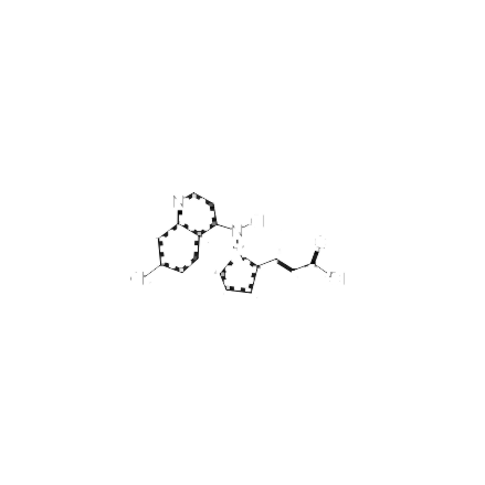 CN(c1ccnc2cc(Cl)ccc12)n1cccc1C=CC(=O)O